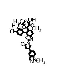 Cc1cc2nc(N3CC(c4ccc5c(cnn5C)c4)CC3=O)sc2c(-c2ccc(Cl)cc2)c1[C@H](OC(C)(C)C)C(=O)C(=O)O